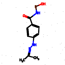 CC(C)=NNc1ccc(C(=O)NSO)cc1